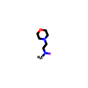 CN(I)CCN1CCOCC1